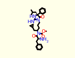 COC(=O)N(C(=O)[C@@H](N)Cc1ccccc1)C(CCCN1C(=N)N[C@](CC(C)C)(c2ccccc2)C1=O)CC1CC1